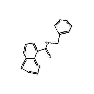 O=C(NCc1cc[c]cc1)c1cccc2cccnc12